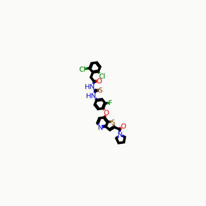 O=C(Cc1c(Cl)cccc1Cl)NC(=S)Nc1ccc(Oc2ccnc3cc(C(=O)N4CCCC4)sc23)c(F)c1